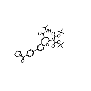 CC(C)NC(=O)C1=Cc2cc(-c3ccc(C(=O)N4CCCC4)cc3)ccc2N=C(N(C(=O)OC(C)(C)C)C(=O)OC(C)(C)C)C1